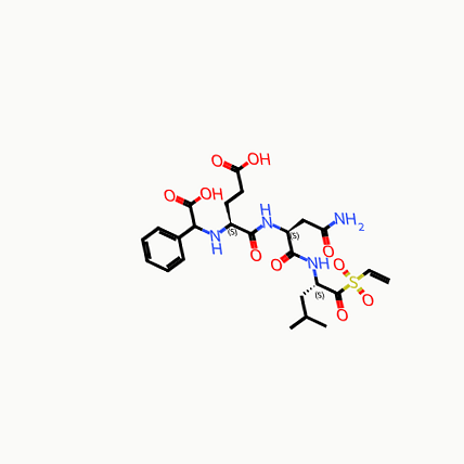 C=CS(=O)(=O)C(=O)[C@H](CC(C)C)NC(=O)[C@H](CC(N)=O)NC(=O)[C@H](CCC(=O)O)NC(C(=O)O)c1ccccc1